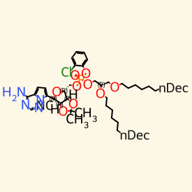 CCCCCCCCCCCCCCCCOC[C@H](COP(=O)(OC[C@H]1O[C@@](C#N)(c2ccc3c(N)ncnn23)[C@@H]2OC(C)(C)O[C@@H]21)Oc1ccccc1Cl)OCCCCCCCCCCCCCCCC